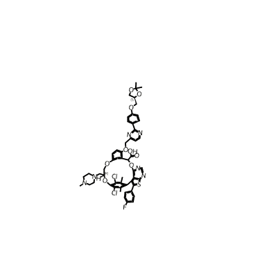 Cc1c(Cl)c2c(Cl)c(C)c1-c1c(-c3ccc(F)cc3)sc3ncnc(c13)OC(C(=O)O)c1cc(ccc1OCc1ccnc(-c3ccc(OC[C@H]4COC(C)(C)O4)cc3)n1)OC[C@@H](CN1CCN(C)CC1)O2